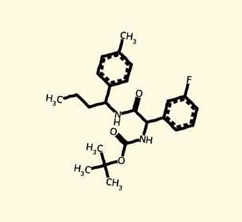 CCCC(NC(=O)C(NC(=O)OC(C)(C)C)c1cccc(F)c1)c1ccc(C)cc1